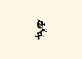 CC1(C)CC(C(=O)N2CC3CC(C2)N3)C1